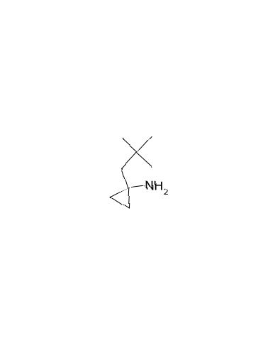 CC(C)(C)CC1(N)CC1